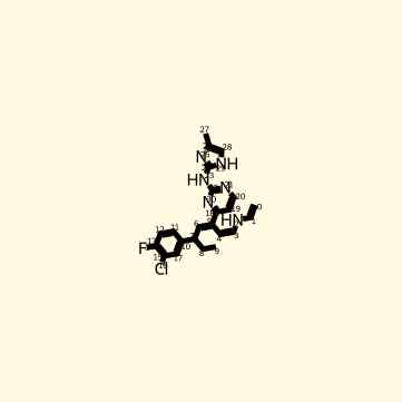 C=CN/C=C\C(=C/C(CC)c1ccc(F)c(Cl)c1)c1ccnc(Nc2nc(C)c[nH]2)n1